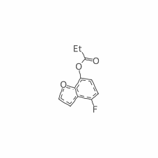 CCC(=O)Oc1ccc(F)c2ccoc12